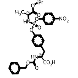 CC(C)OC(=O)[C@H](C)NP(=O)(Oc1ccc(C[C@H](NC(=O)OCc2ccccc2)C(=O)O)cc1)Oc1ccc([N+](=O)[O-])cc1